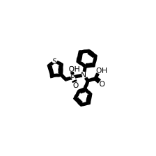 O=C(O)C(c1ccccc1)N(c1ccccc1)P(=O)(O)Cc1ccsc1